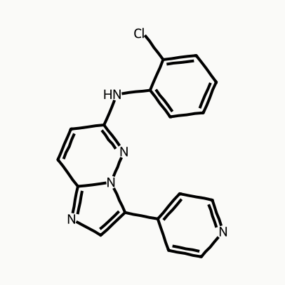 Clc1ccccc1Nc1ccc2ncc(-c3ccncc3)n2n1